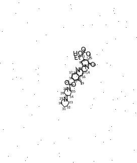 CC[C@@]1(O)C(=O)OCc2c1cc1n(c2=O)Cc2cc3c(I)c(OC(=O)N4CCC(N5CCCCC5)CC4)ccc3nc2-1